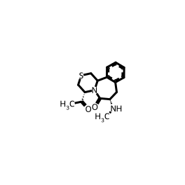 CN[C@H]1Cc2ccccc2C2CSC[C@@H](C(C)=O)N2C1=O